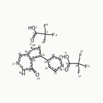 O=C(O)C(F)(F)F.O=C(O)C(F)(F)F.O=c1[nH]ncc2scc(-c3ccncc3)c12